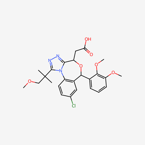 COCC(C)(C)c1nnc2n1-c1ccc(Cl)cc1C(c1cccc(OC)c1OC)OC2CC(=O)O